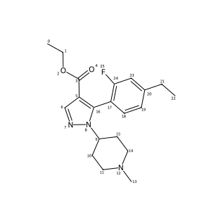 CCOC(=O)c1cnn(C2CCN(C)CC2)c1-c1ccc(CC)cc1F